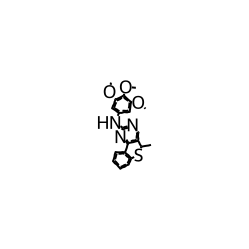 COc1cc(Nc2ncc3c(n2)-c2ccccc2SC3C)cc(OC)c1OC